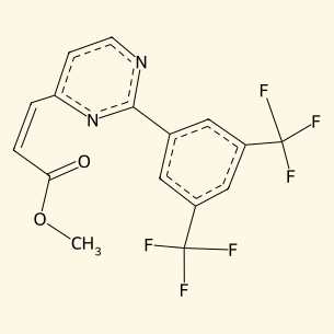 COC(=O)/C=C\c1ccnc(-c2cc(C(F)(F)F)cc(C(F)(F)F)c2)n1